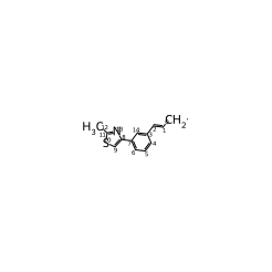 [CH2]/C=C/c1cccc(-c2csc(C)n2)c1